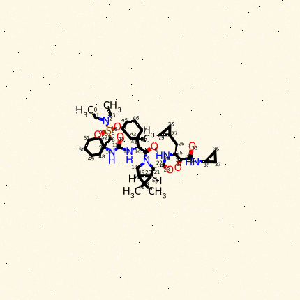 CCN(CC)S(=O)(=O)CC1(NC(=O)N[C@H](C(=O)N2C[C@H]3[C@@H]([C@H]2C(=O)N[C@@H](CC2CC2)C(=O)C(=O)NC2CC2)C3(C)C)C2(C)CCCCC2)CCCCC1